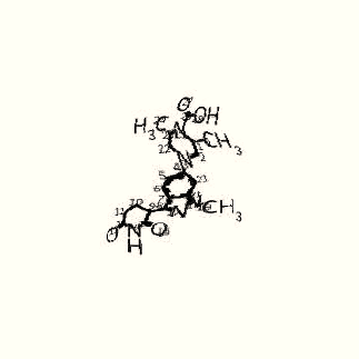 C[C@H]1CN(c2ccc3c(C4CCC(=O)NC4=O)nn(C)c3c2)C[C@H](C)N1C(=O)O